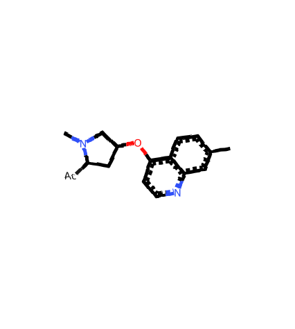 CC(=O)C1CC(Oc2ccnc3cc(C)ccc23)CN1C